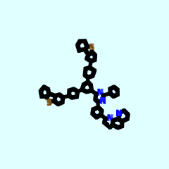 c1ccc(-c2nc(-c3cc(-c4ccc(-c5ccc6sc7ccccc7c6c5)cc4)cc(-c4ccc(-c5ccc6sc7ccccc7c6c5)cc4)c3)cc(-c3cccc(-c4ccc5ccc6cccnc6c5n4)c3)n2)cc1